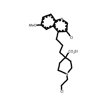 CCOC(=O)C1(CCCc2c(Cl)cnc3ccc(OC)cc23)CCN(CCCl)CC1